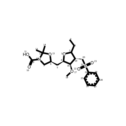 CCC1O[C@H](C[C@H]2CN(C(=O)O)C(C)(C)O2)[C@H](OC)[C@H]1CS(=O)(=O)c1ccccc1